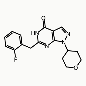 O=c1[nH]c(Cc2ccccc2F)nc2c1cnn2C1CCOCC1